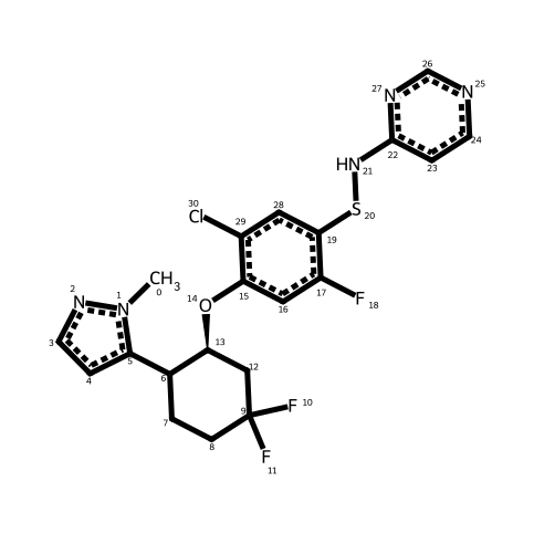 Cn1nccc1C1CCC(F)(F)C[C@@H]1Oc1cc(F)c(SNc2ccncn2)cc1Cl